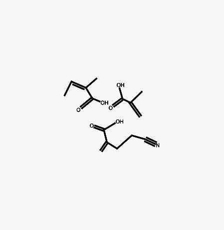 C=C(C)C(=O)O.C=C(CCC#N)C(=O)O.CC=C(C)C(=O)O